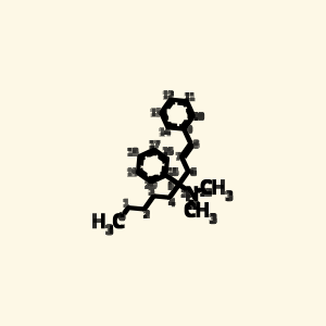 CCCCCC(C/C=C/c1ccccc1)(c1ccccc1)N(C)C